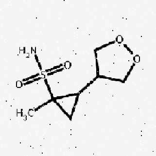 CC1(S(N)(=O)=O)CC1C1COOC1